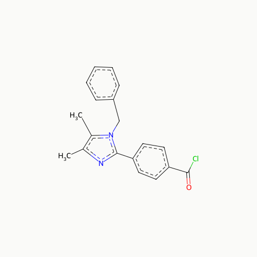 Cc1nc(-c2ccc(C(=O)Cl)cc2)n(Cc2ccccc2)c1C